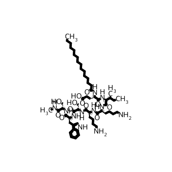 CCCCCCCCCCCCCCCC(=O)N[C@@H](CCC(=O)O)C(=O)N[C@H](C(=O)N[C@@H](CCCCN)C(=O)N[C@@H](CCCCN)C(=O)N[C@@H](CO)C(=O)N[C@@H](Cc1c[nH]c2ccccc12)C(=O)N[C@@H](CO)C(=O)NC)[C@@H](C)CC